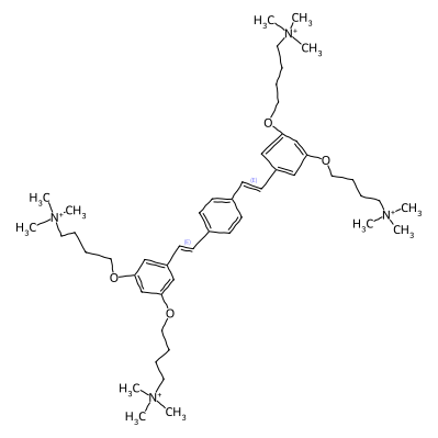 C[N+](C)(C)CCCCOc1cc(/C=C/c2ccc(/C=C/c3cc(OCCCC[N+](C)(C)C)cc(OCCCC[N+](C)(C)C)c3)cc2)cc(OCCCC[N+](C)(C)C)c1